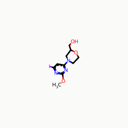 COc1nc(I)cc(N2CCOC(CO)C2)n1